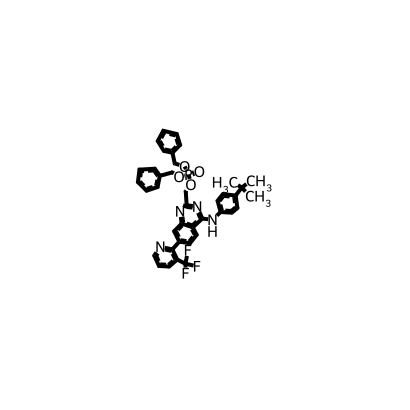 CC(C)(C)c1ccc(Nc2nc(COP(=O)(OCc3ccccc3)OCc3ccccc3)nc3cc(-c4ncccc4C(F)(F)F)ccc23)cc1